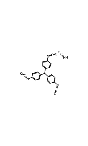 N=C=O.O=C=Nc1ccc(C(c2ccc(N=C=O)cc2)c2ccc(N=C=O)cc2)cc1